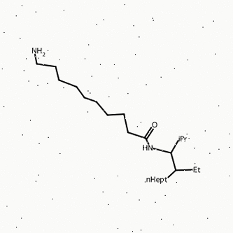 CCCCCCCC(CC)C(NC(=O)CCCCCCCCCN)C(C)C